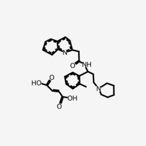 Cc1ccccc1C(CCN1CCCCC1)NC(=O)Cc1ccc2ccccc2n1.O=C(O)C=CC(=O)O